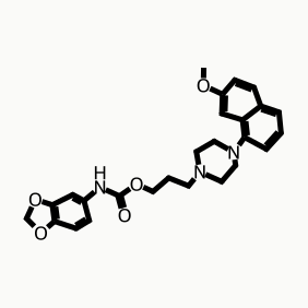 COc1ccc2cccc(N3CCN(CCCOC(=O)Nc4ccc5c(c4)OCO5)CC3)c2c1